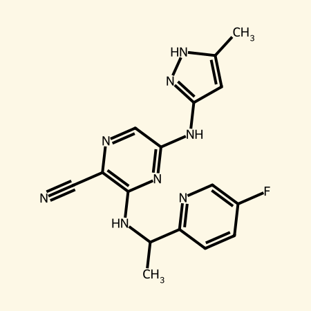 Cc1cc(Nc2cnc(C#N)c(NC(C)c3ccc(F)cn3)n2)n[nH]1